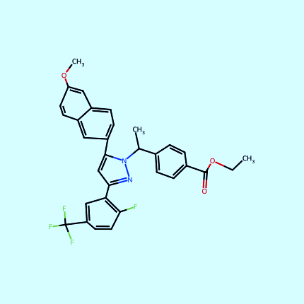 CCOC(=O)c1ccc(C(C)n2nc(-c3cc(C(F)(F)F)ccc3F)cc2-c2ccc3cc(OC)ccc3c2)cc1